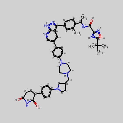 Cc1cc(-c2n[nH]c3ncc(-c4ccc(N5CCN(CC6CCN(c7ccc(C8CCC(=O)NC8=O)cc7)C6)CC5)cc4)cc23)ccc1C(C)NC(=O)c1noc(C(C)(C)C)n1